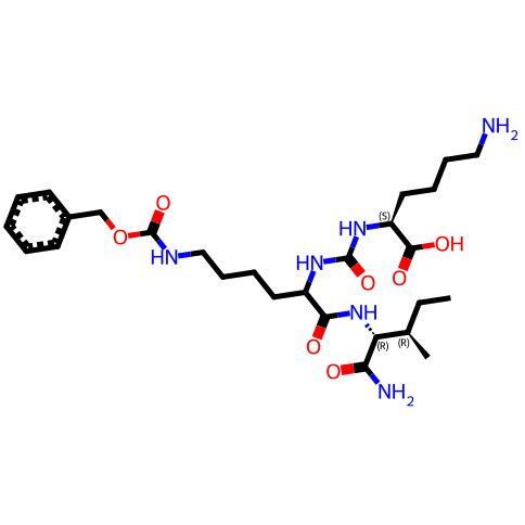 CC[C@@H](C)[C@@H](NC(=O)C(CCCCNC(=O)OCc1ccccc1)NC(=O)N[C@@H](CCCCN)C(=O)O)C(N)=O